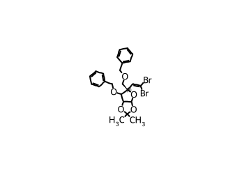 CC1(C)OC2O[C@](C=C(Br)Br)(COCc3ccccc3)C(OCc3ccccc3)C2O1